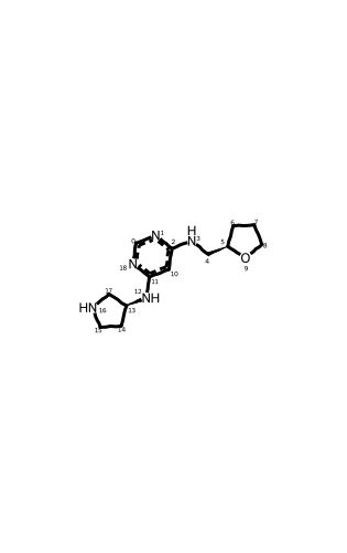 c1nc(NC[C@H]2CCCO2)cc(N[C@H]2CCNC2)n1